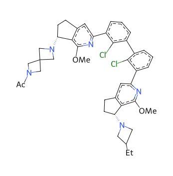 CCC1CN([C@@H]2CCc3cc(-c4cccc(-c5cccc(-c6cc7c(c(OC)n6)[C@H](N6CC8(CN(C(C)=O)C8)C6)CC7)c5Cl)c4Cl)nc(OC)c32)C1